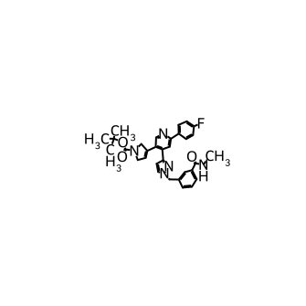 CNC(=O)c1cccc(Cn2ccc(-c3cc(-c4ccc(F)cc4)ncc3C3=CCN(C(=O)OC(C)(C)C)C3)n2)c1